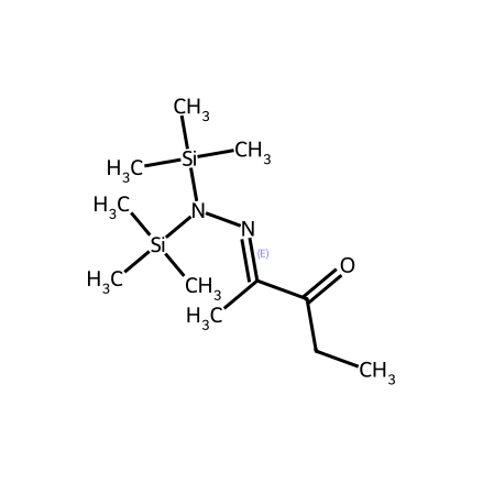 CCC(=O)/C(C)=N/N([Si](C)(C)C)[Si](C)(C)C